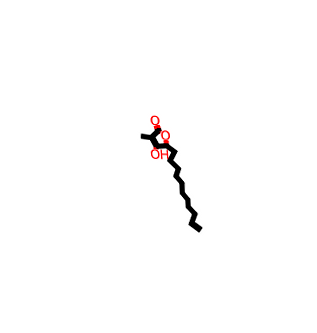 C=CCCCCCCCCCC1OC(=O)C(C)=C1O